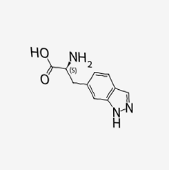 N[C@@H](Cc1ccc2cn[nH]c2c1)C(=O)O